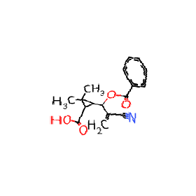 C=C(C#N)C(OC(=O)c1ccccc1)C1C(C(=O)O)C1(C)C